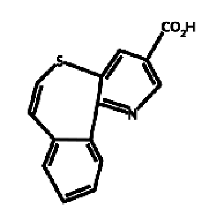 O=C(O)c1cnc2c(c1)SC=Cc1ccccc1-2